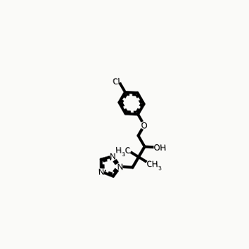 CC(C)(Cn1cncn1)C(O)COc1ccc(Cl)cc1